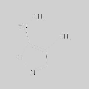 CNc1oncc1C